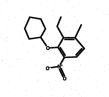 CCc1c(C)ccc([N+](=O)[O-])c1OC1CCCCC1